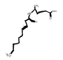 CCCCCC/C=C/CC(=O)NC(C)CCC(=O)O